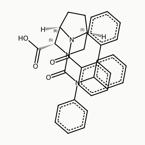 O=C(O)[C@@H]1[C@H]2CC[C@@H](CN1C(=O)N(c1ccccc1)c1ccccc1)N2C(=O)c1ccccc1-c1ccccc1